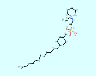 CCCCCCCCCCCCC1CCC(COP(=O)(O)OCC[N+]2(C)CCCCC2)CC1